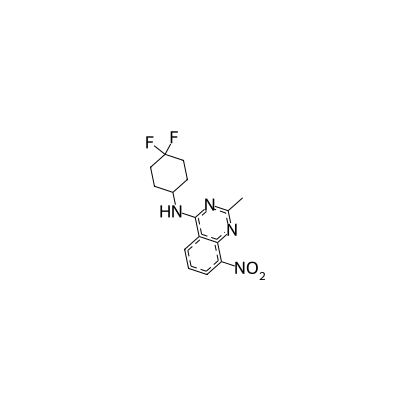 Cc1nc(NC2CCC(F)(F)CC2)c2cccc([N+](=O)[O-])c2n1